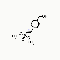 COP(=O)(/C=C/c1ccc(CO)cc1)OC